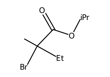 CCC(C)(Br)C(=O)OC(C)C